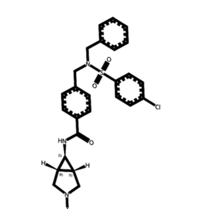 CC(=O)N1C[C@@H]2[C@H](C1)[C@H]2NC(=O)c1ccc(CN(Cc2ccccc2)S(=O)(=O)c2ccc(Cl)cc2)cc1